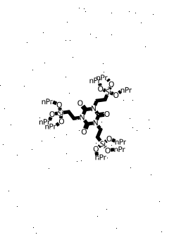 CCCO[Si](CCn1c(=O)n(CC[Si](OCCC)(OCCC)OCCC)c(=O)n(CC[Si](OCCC)(OCCC)OCCC)c1=O)(OCCC)OCCC